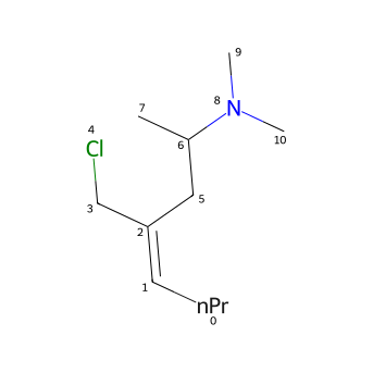 CCC/C=C(/CCl)CC(C)N(C)C